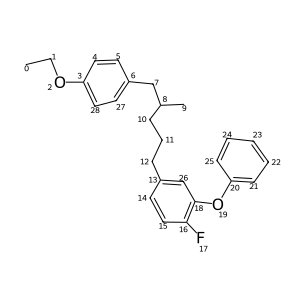 CCOc1ccc(CC(C)CCCc2ccc(F)c(Oc3ccccc3)c2)cc1